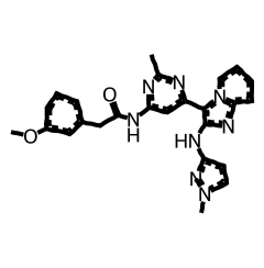 COc1cccc(CC(=O)Nc2cc(-c3c(Nc4ccn(C)n4)nc4ccccn34)nc(C)n2)c1